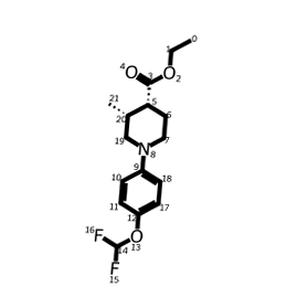 CCOC(=O)[C@@H]1CCN(c2ccc(OC(F)F)cc2)C[C@@H]1C